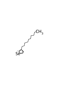 CCCCCCCCCCc1[c][se]cc1